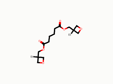 CCC1(COC(=O)CCCCC(=O)OCC2(CC)COC2)COC1